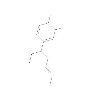 CCC(CCNC)c1ccc(Cl)c(Cl)c1